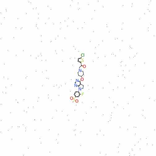 CS(=O)(=O)c1ccc(N2CCc3c(OC4CCN(CC(=O)c5ccc(Cl)s5)CC4)ncnc32)c(F)c1